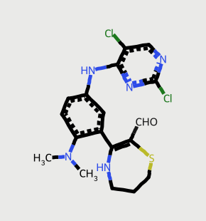 CN(C)c1ccc(Nc2nc(Cl)ncc2Cl)cc1C1=C(C=O)SCCCN1